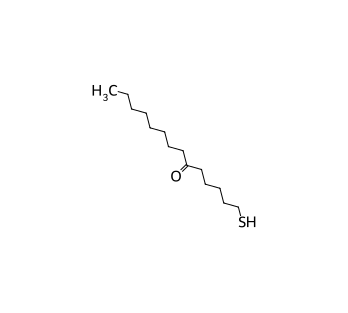 CCCCCCCCC(=O)CCCCCS